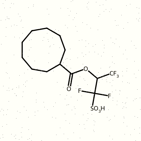 O=C(OC(C(F)(F)F)C(F)(F)S(=O)(=O)O)C1CCCCCCCC1